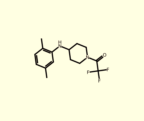 Cc1ccc(C)c(NC2CCN(C(=O)C(F)(F)F)CC2)c1